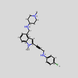 CCn1c(C#CCNc2ccc(F)cc2)cc2c(CNC3CCN(C)CC3)cccc21